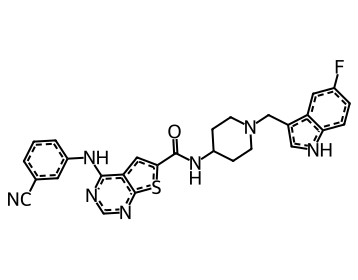 N#Cc1cccc(Nc2ncnc3sc(C(=O)NC4CCN(Cc5c[nH]c6ccc(F)cc56)CC4)cc23)c1